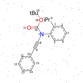 CC(C)c1ccccc1N(C#Cc1ccccc1)C(=O)OC(C)(C)C